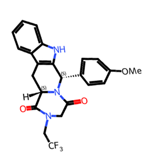 COc1ccc([C@H]2c3[nH]c4ccccc4c3C[C@H]3C(=O)N(CC(F)(F)F)CC(=O)N23)cc1